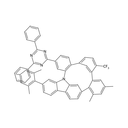 Cc1cc(C)c(-c2ccc3c4ccc5cc4n(c3c2)-c2cc(-c3nc(-c4ccccc4)nc(-c4ccccc4)n3)ccc2-c2ccc(C(F)(F)F)c(c2)-c2cc(C)cc(C)c2-5)c(C)c1